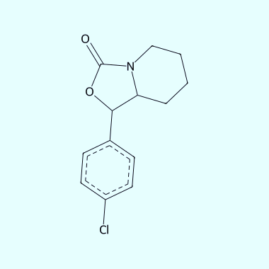 O=C1OC(c2ccc(Cl)cc2)C2CCCCN12